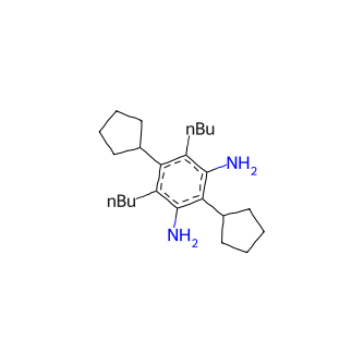 CCCCc1c(N)c(C2CCCC2)c(N)c(CCCC)c1C1CCCC1